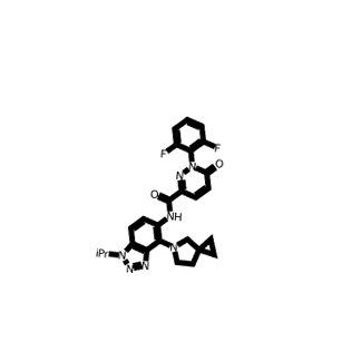 CC(C)n1nnc2c(N3CCC4(CC4)C3)c(NC(=O)c3ccc(=O)n(-c4c(F)cccc4F)n3)ccc21